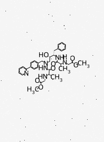 COC(=O)CN[C@@H](C)C(=O)N[C@@H](Cc1ccccc1)[C@@H](O)CN(Cc1ccc(-c2ccccn2)cc1)NC(=O)[C@@H](C)NCC(=O)OC